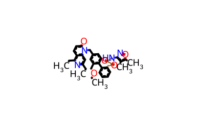 CCOCc1cc(Cn2c(=O)ccc3c(CC)nc(CC)cc32)ccc1-c1ccccc1S(=O)(=O)Nc1noc(C)c1C